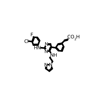 O=C(O)/C=C/c1cccc(-c2cnc(Nc3ccc(F)c(Cl)c3)nc2NCCn2cccn2)c1